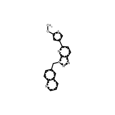 COc1cc(-c2ccc3nnn(Cc4ccc5ncccc5c4)c3n2)cs1